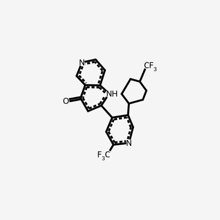 O=c1cc(-c2cc(C(F)(F)F)ncc2C2CCC(C(F)(F)F)CC2)[nH]c2ccncc12